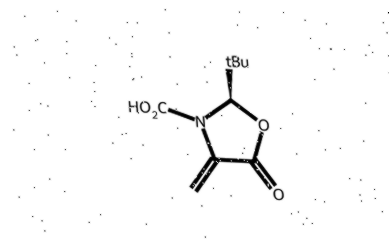 C=C1C(=O)O[C@H](C(C)(C)C)N1C(=O)O